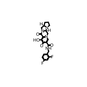 O=C(NCc1ccc(F)cc1F)c1cn2c(c(O)c1=O)C(=O)N1C[C@H]3CCCN3[C@H]1C2